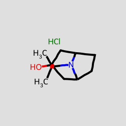 CC(C)N1C2CCC1CC(O)C2.Cl